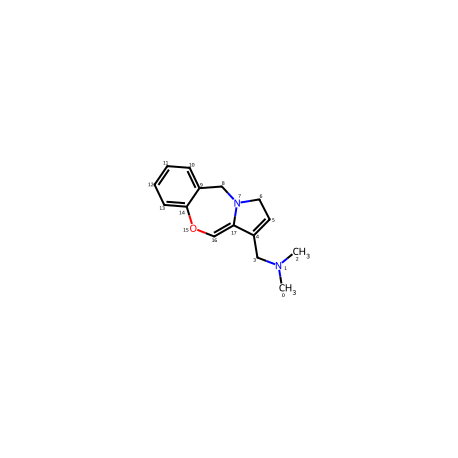 CN(C)CC1=CCN2Cc3ccccc3OC=C12